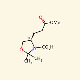 COC(=O)CC[C@@H]1COC(C)(C)N1C(=O)O